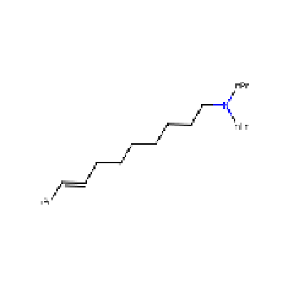 CCC/C=C/CCCCCCCN(CCC)CCC